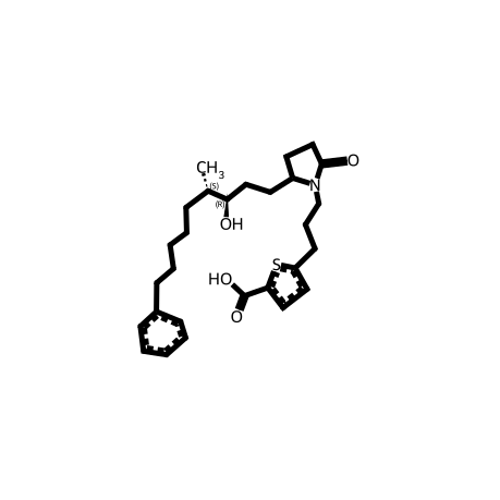 C[C@@H](CCCCCc1ccccc1)[C@H](O)CCC1CCC(=O)N1CCCc1ccc(C(=O)O)s1